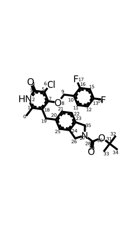 Cc1[nH]c(=O)c(Cl)c(OCc2ccc(F)cc2F)c1Cc1ccc2c(c1)CN(C(=O)OC(C)(C)C)C2